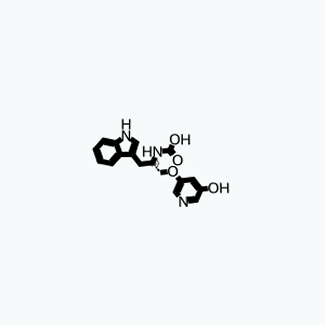 O=C(O)N[C@H](COc1cncc(O)c1)Cc1c[nH]c2ccccc12